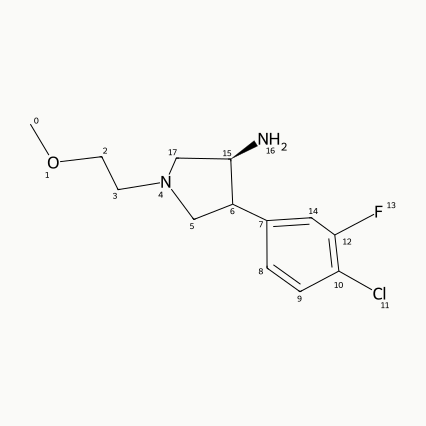 COCCN1CC(c2ccc(Cl)c(F)c2)[C@H](N)C1